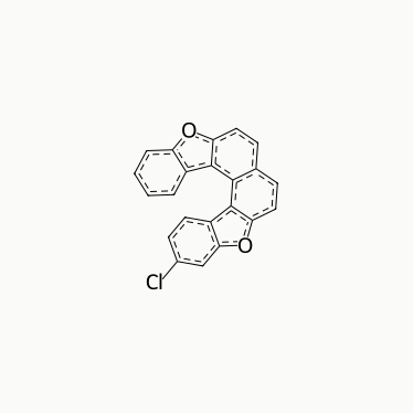 Clc1ccc2c(c1)oc1ccc3ccc4oc5ccccc5c4c3c12